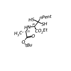 CCCCCC(S)(S)[C@H](N[C@@H](C)C(=O)OC(C)(C)C)C(=O)OCC